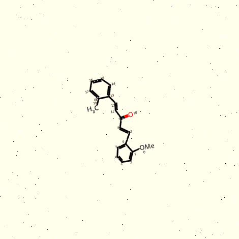 COc1ccccc1/C=C/C(=O)/C=C/c1ccccc1C